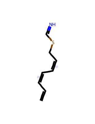 C=C/C=C\C=C/CSC=N